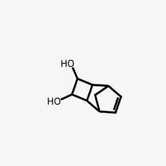 OC1C(O)C2C3C=CC(C3)C12